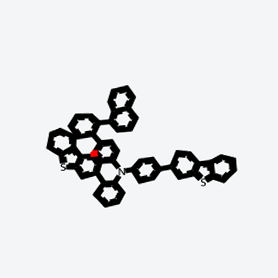 c1ccc(-c2cccc3ccccc23)c(-c2ccc(N(c3ccc(-c4ccc5c(c4)sc4ccccc45)cc3)c3ccccc3-c3ccc4c(c3)sc3ccccc34)cc2)c1